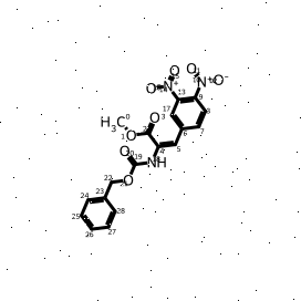 COC(=O)/C(=C\c1ccc([N+](=O)[O-])c([N+](=O)[O-])c1)NC(=O)OCc1ccccc1